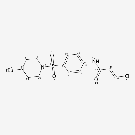 CC(C)(C)N1CCN(S(=O)(=O)c2ccc(NC(=O)C=CCl)cc2)CC1